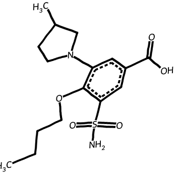 CCCCOc1c(N2CCC(C)C2)cc(C(=O)O)cc1S(N)(=O)=O